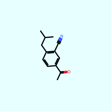 CC(=O)c1ccc(CC(C)C)c(C#N)c1